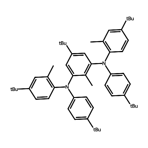 Cc1cc(C(C)(C)C)ccc1N(c1ccc(C(C)(C)C)cc1)c1cc(C(C)(C)C)cc(N(c2ccc(C(C)(C)C)cc2)c2ccc(C(C)(C)C)cc2C)c1C